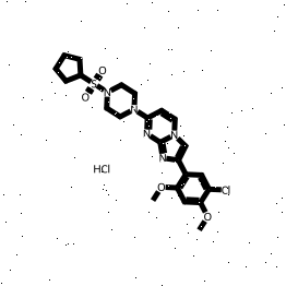 COc1cc(OC)c(-c2cn3ccc(N4CCN(S(=O)(=O)C5CCCC5)CC4)nc3n2)cc1Cl.Cl